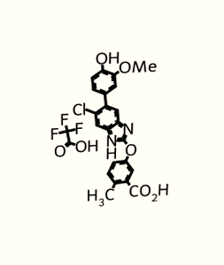 COc1cc(-c2cc3nc(Oc4ccc(C)c(C(=O)O)c4)[nH]c3cc2Cl)ccc1O.O=C(O)C(F)(F)F